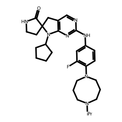 CC(C)N1CCCN(c2ccc(Nc3ncc4c(n3)N(C3CCCC3)C3(CCNC3=O)C4)cc2F)CCC1